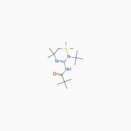 CC1(C)CS(C)(C)N(C(C)(C)C)C(NC(=O)C(C)(C)C)=N1